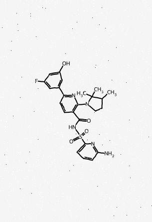 CC1CCN(c2nc(-c3cc(O)cc(F)c3)ccc2C(=O)NS(=O)(=O)c2cccc(N)n2)C1(C)C